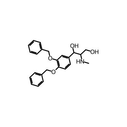 CNC(CO)C(O)c1ccc(OCc2ccccc2)c(OCc2ccccc2)c1